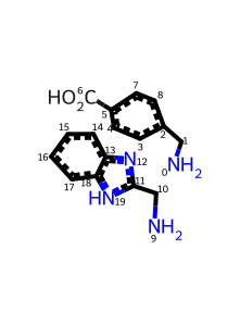 NCc1ccc(C(=O)O)cc1.NCc1nc2ccccc2[nH]1